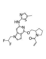 C=CC(=O)N1CCCC1COc1nc(Nc2ncc(C)s2)cc2c1ccn2CC(F)F